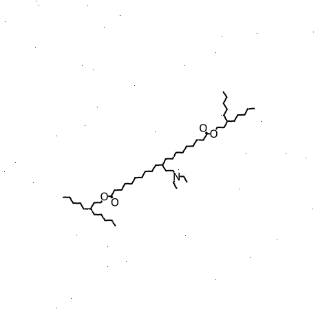 CCCCCC(CCCCC)CCOC(=O)CCCCCCCCCC(CCCCCCCCC(=O)OCCC(CCCCC)CCCCC)CCN(CC)CC